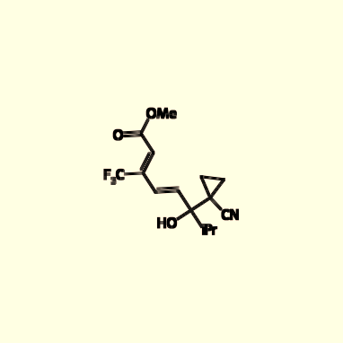 COC(=O)C=C(C=CC(O)(C(C)C)C1(C#N)CC1)C(F)(F)F